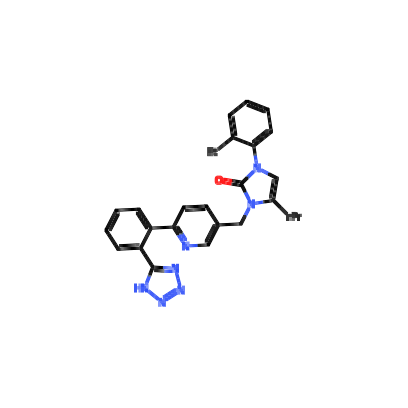 CCCc1cn(-c2ccccc2CC)c(=O)n1Cc1ccc(-c2ccccc2-c2nnn[nH]2)nc1